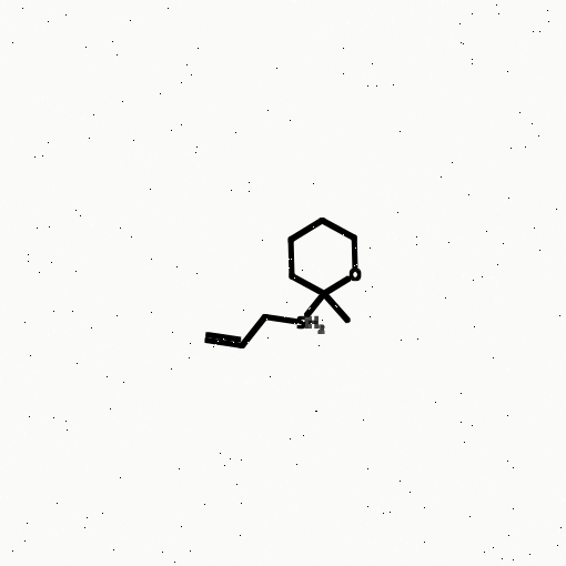 C=CC[SiH2]C1(C)CCCCO1